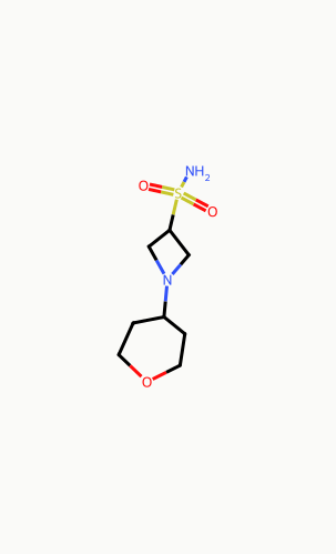 NS(=O)(=O)C1CN(C2CCOCC2)C1